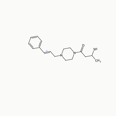 CC(S)CC(=O)N1CCN(C/C=C/c2ccccc2)CC1